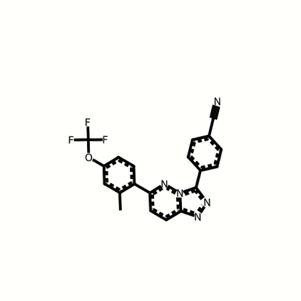 Cc1cc(OC(F)(F)F)ccc1-c1ccc2nnc(-c3ccc(C#N)cc3)n2n1